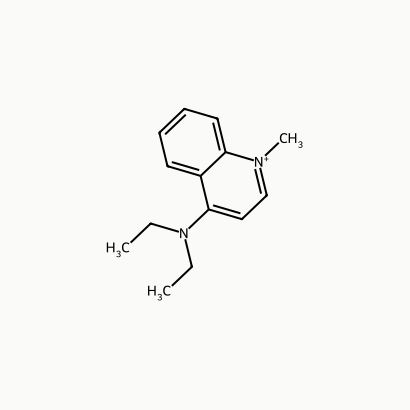 CCN(CC)c1cc[n+](C)c2ccccc12